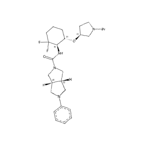 CC(C)N1CC[C@H](O[C@H]2CCCC(F)(F)[C@@H]2NC(=O)N2C[C@@H]3CN(c4ccccc4)C[C@@H]3C2)C1